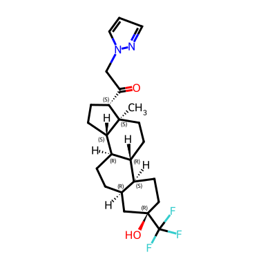 C[C@]12CC[C@H]3[C@@H](CC[C@@H]4C[C@@](O)(C(F)(F)F)CC[C@@H]43)[C@@H]1CC[C@@H]2C(=O)Cn1cccn1